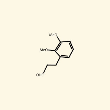 COc1cccc(CCC=O)c1OC